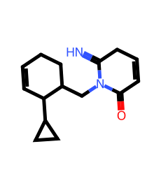 N=C1CC=CC(=O)N1CC1CCC=CC1C1CC1